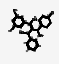 CCCC(C1=CC=C(Cl)CC1)/C(=C(\O)c1cc(F)cc(F)c1)C(O)c1cccnc1